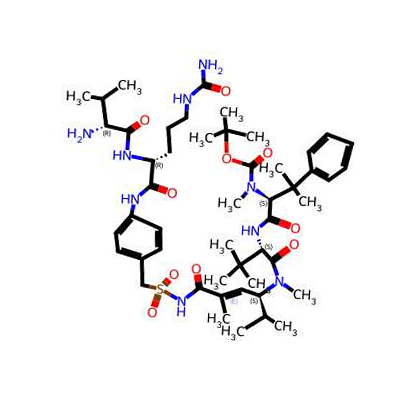 C/C(=C\[C@H](C(C)C)N(C)C(=O)[C@@H](NC(=O)[C@@H](N(C)C(=O)OC(C)(C)C)C(C)(C)c1ccccc1)C(C)(C)C)C(=O)NS(=O)(=O)Cc1ccc(NC(=O)[C@@H](CCCNC(N)=O)NC(=O)[C@H](N)C(C)C)cc1